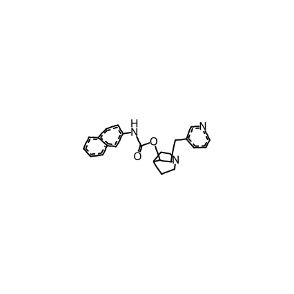 O=C(Nc1ccc2ccccc2c1)OC1C2CCN(CC2)C1Cc1cccnc1